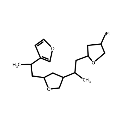 CC(CC1CC(C(C)CC2CC(C(C)C)CO2)CO1)c1ccoc1